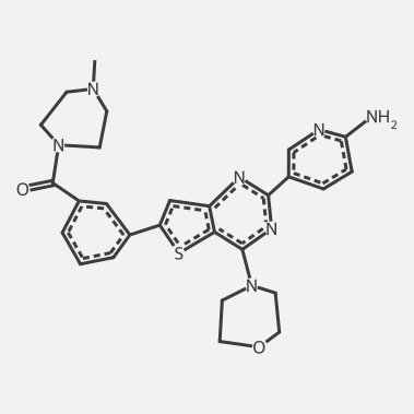 CN1CCN(C(=O)c2cccc(-c3cc4nc(-c5ccc(N)nc5)nc(N5CCOCC5)c4s3)c2)CC1